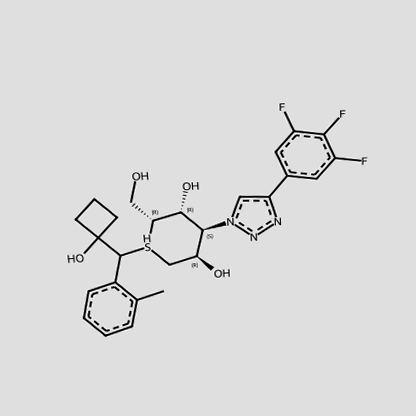 Cc1ccccc1C([SH]1C[C@H](O)[C@H](n2cc(-c3cc(F)c(F)c(F)c3)nn2)[C@@H](O)[C@H]1CO)C1(O)CCC1